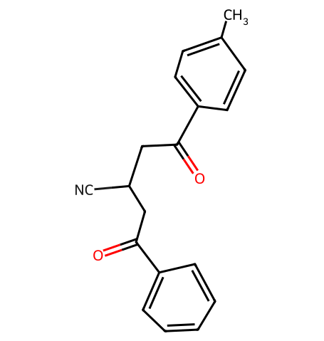 Cc1ccc(C(=O)CC(C#N)CC(=O)c2ccccc2)cc1